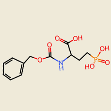 O=C(NC(CCP(=O)(O)O)C(=O)O)OCc1ccccc1